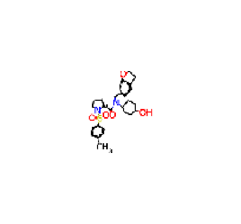 Cc1ccc(S(=O)(=O)N2CCC[C@H]2C(=O)N(Cc2ccc3c(c2)OCC3)C2CCC(O)CC2)cc1